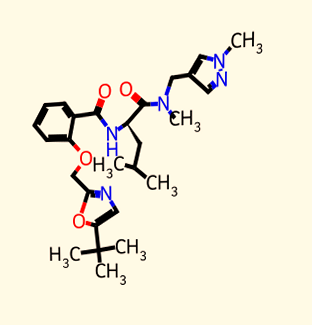 CC(C)C[C@@H](NC(=O)c1ccccc1OCc1ncc(C(C)(C)C)o1)C(=O)N(C)Cc1cnn(C)c1